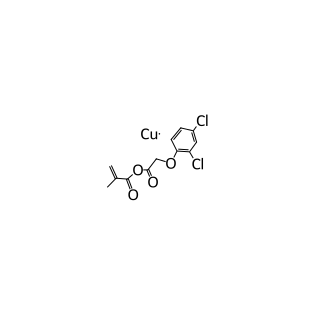 C=C(C)C(=O)OC(=O)COc1ccc(Cl)cc1Cl.[Cu]